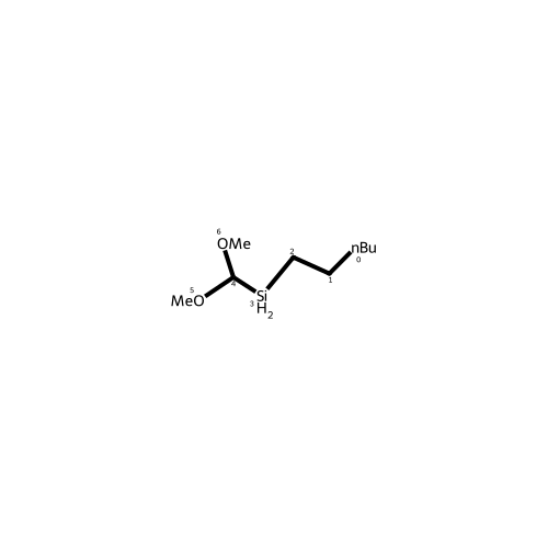 CCCCCC[SiH2]C(OC)OC